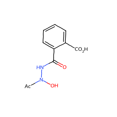 CC(=O)N(O)NC(=O)c1ccccc1C(=O)O